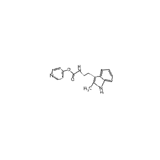 Cc1[nH]c2ccccc2c1CCNC(=O)Oc1ccncc1